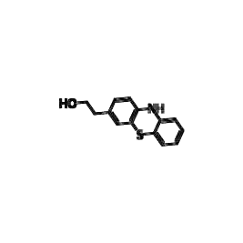 OCCc1ccc2c(c1)Sc1ccccc1N2